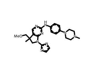 COCC1(C)CN(c2nccs2)c2nc(Nc3ccc(N4CCN(C)CC4)cc3)ncc21